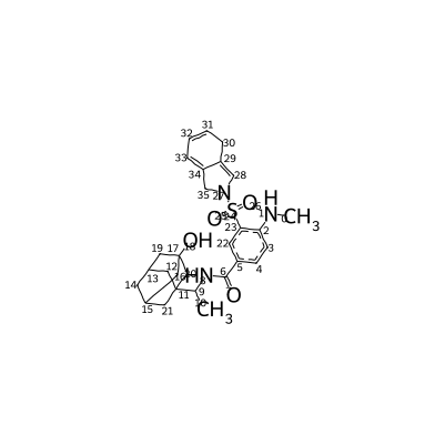 CNc1ccc(C(=O)NC(C)C23CC4CC(CC(O)(C4)C2)C3)cc1S(=O)(=O)N1C=C2CC=CC=C2C1